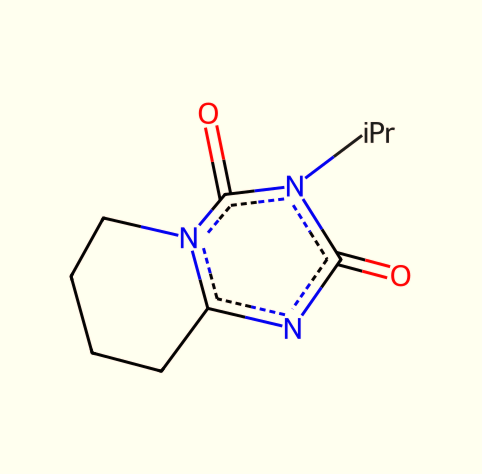 CC(C)n1c(=O)nc2n(c1=O)CCCC2